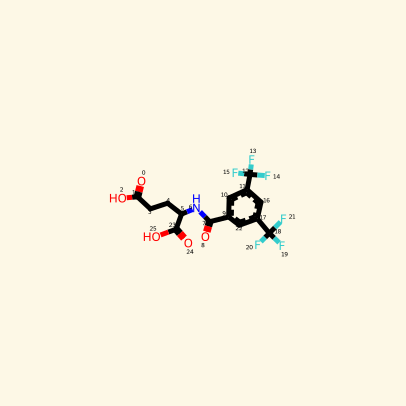 O=C(O)CCC(NC(=O)c1cc(C(F)(F)F)cc(C(F)(F)F)c1)C(=O)O